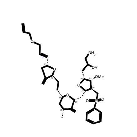 C=CCOC/C=C/[C@H]1CC(=C)[C@H](CC[C@H]2C[C@@H](C)C(=C)[C@@H](C[C@@H]3O[C@H](CC(O)CN)[C@H](OC)[C@H]3CS(=O)(=O)c3ccccc3)O2)O1